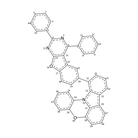 c1ccc(-c2nc(-c3ccccc3)c3c(n2)oc2ccc(-c4cccc5c6cccc7c6n(c45)-c4ccccc4O7)cc23)cc1